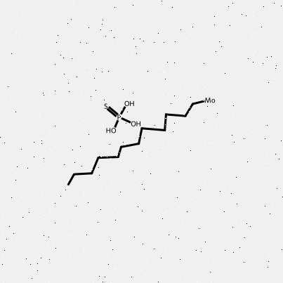 CCCCCCCCCCC[CH2][Mo].OP(O)(O)=S